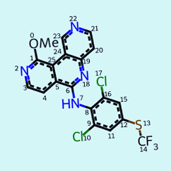 COc1nccc2c(Nc3c(Cl)cc(SC(F)(F)F)cc3Cl)nc3ccncc3c12